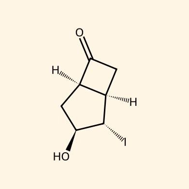 O=C1C[C@H]2[C@H](I)[C@@H](O)C[C@@H]12